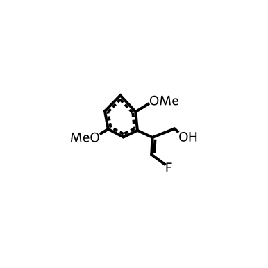 COc1ccc(OC)c(C(=CF)CO)c1